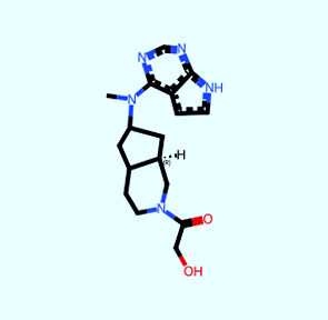 CN(c1ncnc2[nH]ccc12)C1CC2CCN(C(=O)CO)C[C@@H]2C1